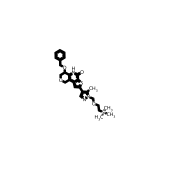 Cc1c(-c2cc3c4c([nH]c(=O)c3s2)C(OCc2ccccc2)COC4)cnn1COCC[Si](C)(C)C